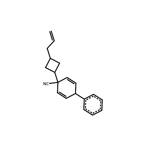 C=CCC1CC(C2(C#N)C=CC(c3ccccc3)C=C2)C1